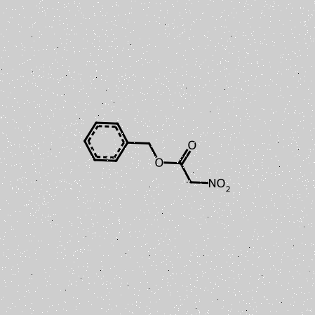 O=C([CH][N+](=O)[O-])OCc1ccccc1